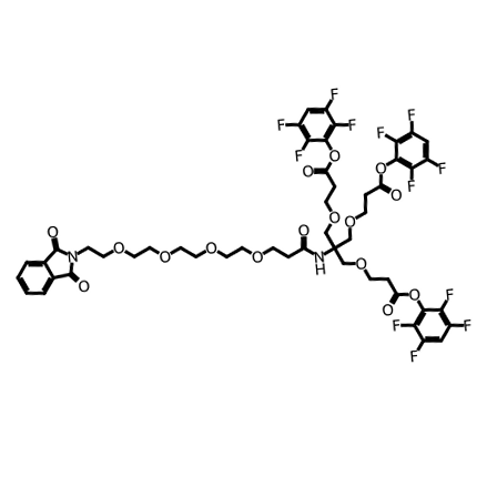 O=C(CCOCCOCCOCCOCCN1C(=O)c2ccccc2C1=O)NC(COCCC(=O)Oc1c(F)c(F)cc(F)c1F)(COCCC(=O)Oc1c(F)c(F)cc(F)c1F)COCCC(=O)Oc1c(F)c(F)cc(F)c1F